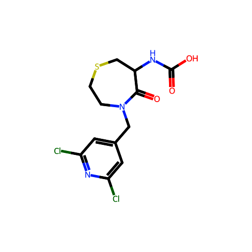 O=C(O)NC1CSCCN(Cc2cc(Cl)nc(Cl)c2)C1=O